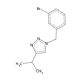 CC(C)c1cn(Cc2cccc(Br)c2)nn1